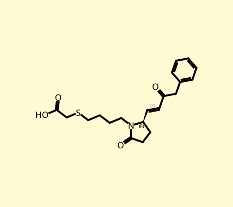 O=C(O)CSCCCCN1C(=O)CC[C@@H]1/C=C/C(=O)Cc1ccccc1